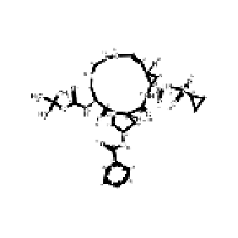 CC(C)(C)OC(=O)N[C@H]1CCCCC/C=C\[C@@H]2C[C@@]2(C(=O)NS(=O)(=O)C2CC2)NC(=O)[C@@H]2C[C@@H](OC(=O)c3ccccc3)CN2C1=O